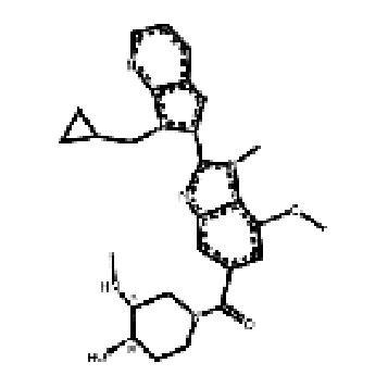 CN[C@H]1CN(C(=O)c2cc(OC)c3c(c2)nc(-c2cc4cccnc4n2CC2CC2)n3C)CC[C@H]1O